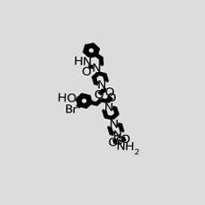 NS(=O)(=O)N1CCN(C2CCN(C(=O)C(Cc3ccc(O)c(Br)c3)OC(=O)N3CCC(N4CCc5ccccc5NC4=O)CC3)CC2)CC1